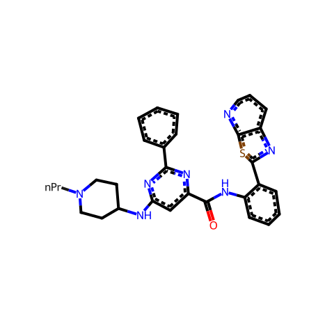 CCCN1CCC(Nc2cc(C(=O)Nc3ccccc3-c3nc4cccnc4s3)nc(-c3ccccc3)n2)CC1